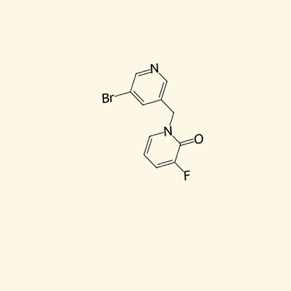 O=c1c(F)cccn1Cc1cncc(Br)c1